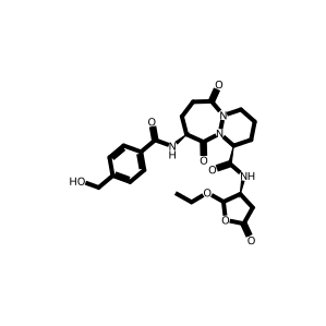 CCOC1OC(=O)C[C@@H]1NC(=O)[C@@H]1CCCN2C(=O)CC[C@H](NC(=O)c3ccc(CO)cc3)C(=O)N12